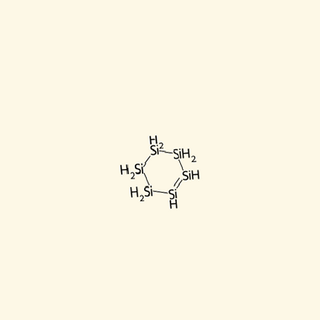 [SiH]1=[SiH][SiH2][SiH2][SiH2][SiH2]1